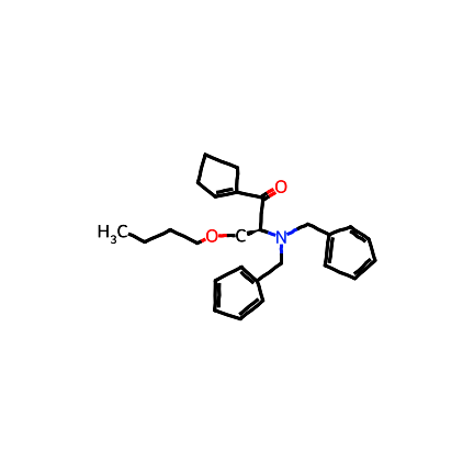 CCCCOC[C@@H](C(=O)C1=CCCC1)N(Cc1ccccc1)Cc1ccccc1